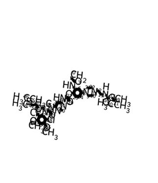 C=CC(=O)Nc1cc(N2CCN(CCNC(=O)OC(C)(C)C)CC2)ccc1OC(=O)Nc1cc(N(C)C(=O)N(COCC[Si](C)(C)C)c2c(Cl)c(OC)cc(OC)c2Cl)ncn1